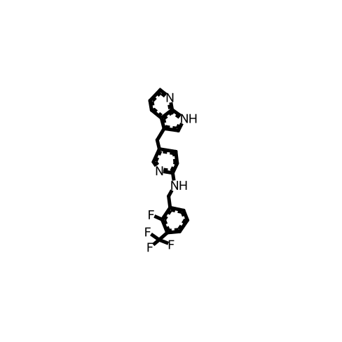 Fc1c(CNc2ccc(Cc3c[nH]c4ncccc34)cn2)cccc1C(F)(F)F